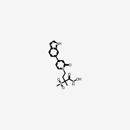 CC(CCn1ccc(-c2ccc3cc[nH]c3c2)cc1=O)(C(=O)NO)S(C)(=O)=O